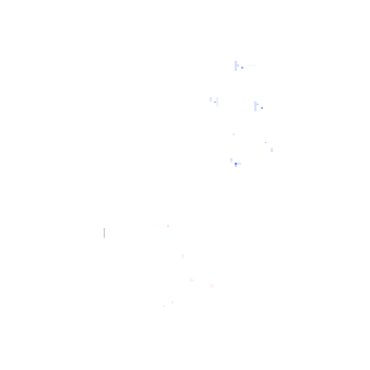 CC(=O)OCC(CCn1c(Cl)nc2nc(N)nc(Cl)c21)COC(C)=O